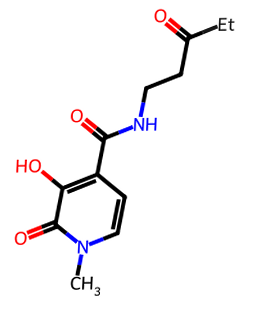 CCC(=O)CCNC(=O)c1ccn(C)c(=O)c1O